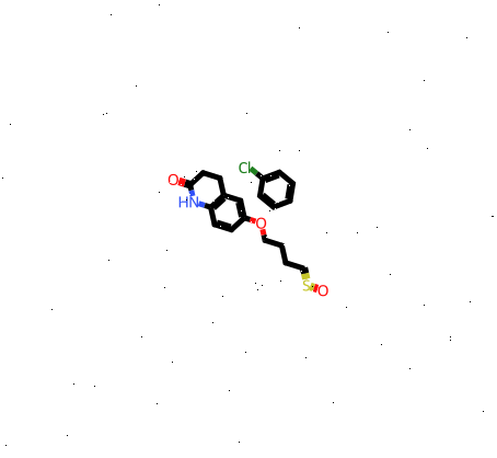 Clc1ccccc1.O=S=CCCCOc1ccc2c(c1)CCC(=O)N2